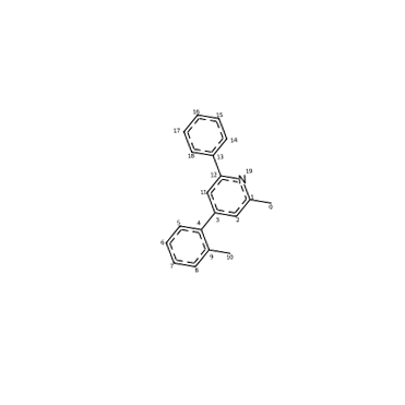 Cc1cc(-c2ccccc2C)cc(-c2ccccc2)n1